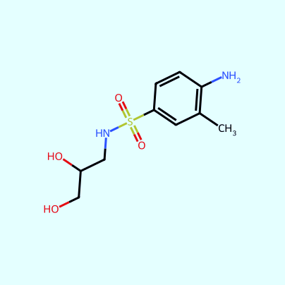 Cc1cc(S(=O)(=O)NCC(O)CO)ccc1N